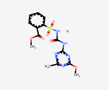 COC(=O)c1ccccc1S(=O)(=O)NC(=O)Nc1nc(C)nc(OC)n1.[V]